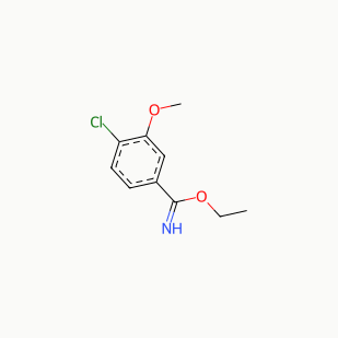 CCOC(=N)c1ccc(Cl)c(OC)c1